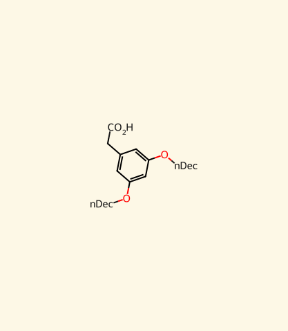 CCCCCCCCCCOc1cc(CC(=O)O)cc(OCCCCCCCCCC)c1